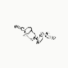 CCC(F)(C=O)c1ccnc(N(Cc2ccc(OC)cc2)SC2CC2)n1